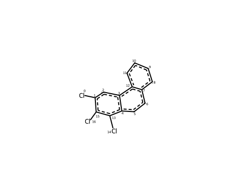 Clc1[c]c2c(ccc3[c]cccc32)c(Cl)c1Cl